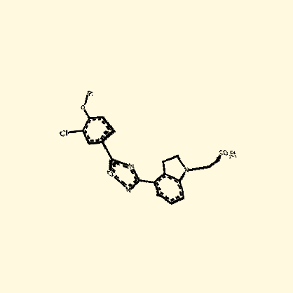 CCOC(=O)CN1CCc2c(-c3noc(-c4ccc(OC(C)C)c(Cl)c4)n3)cccc21